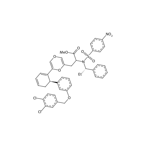 CC[C@@H](c1ccccc1)N(C(CC1=COC=C(C2=CC=CC[C@@H]2c2cccc(OCc3ccc(Cl)c(Cl)c3)c2)O1)C(=O)OC)S(=O)(=O)c1ccc([N+](=O)[O-])cc1